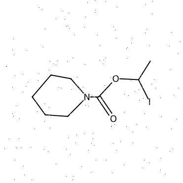 CC(I)OC(=O)N1CCCCC1